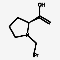 C=C(O)[C@@H]1CCCN1CC(C)C